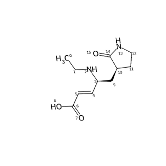 CCN[C@H](C=CC(=O)O)C[C@@H]1CCNC1=O